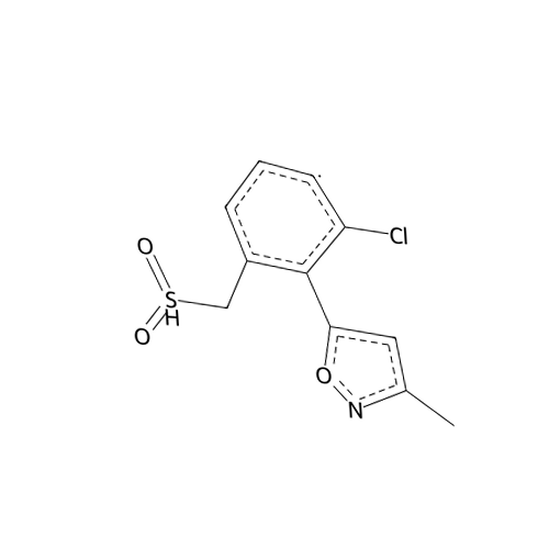 Cc1cc(-c2c(Cl)[c]ccc2C[SH](=O)=O)on1